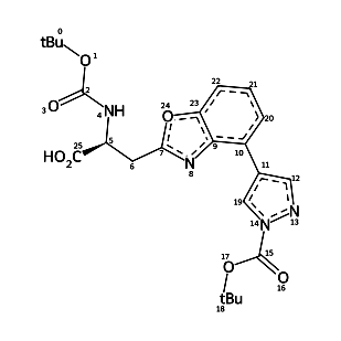 CC(C)(C)OC(=O)N[C@@H](Cc1nc2c(-c3cnn(C(=O)OC(C)(C)C)c3)cccc2o1)C(=O)O